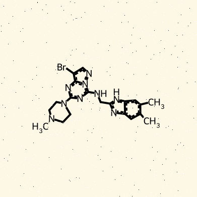 Cc1cc2nc(CNc3nc(N4CCN(C)CC4)nc4c(Br)cnn34)[nH]c2cc1C